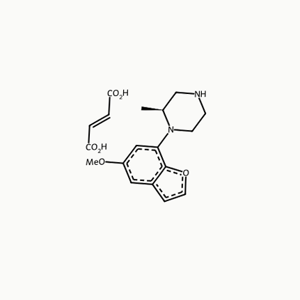 COc1cc(N2CCNC[C@@H]2C)c2occc2c1.O=C(O)/C=C/C(=O)O